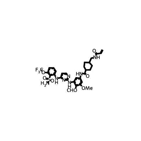 C=CC(=O)NCC1CCC(C(=O)Nc2cc(Nc3nccc(Nc4cccc(OC(F)(F)F)c4S(N)(=O)=O)n3)c(C=O)c(OC)c2)CC1